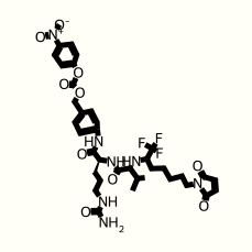 CC(C)[C@H](NC(CCCCCN1C(=O)C=CC1=O)C(F)(F)F)C(=O)N[C@@H](CCCNC(N)=O)C(=O)Nc1ccc(COC(=O)Oc2ccc([N+](=O)[O-])cc2)cc1